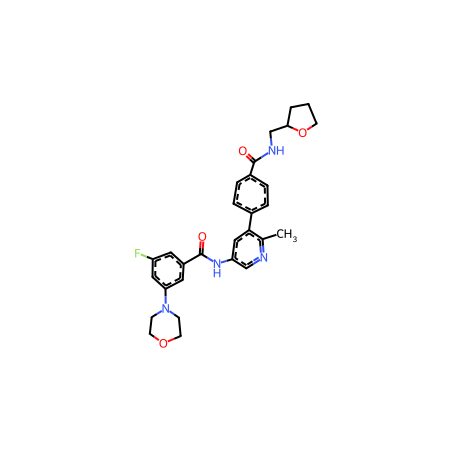 Cc1ncc(NC(=O)c2cc(F)cc(N3CCOCC3)c2)cc1-c1ccc(C(=O)NCC2CCCO2)cc1